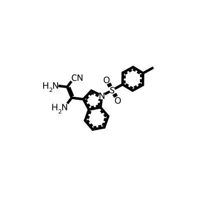 Cc1ccc(S(=O)(=O)n2cc(/C(N)=C(/N)C#N)c3ccccc32)cc1